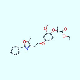 CCOC(=O)C(C)(C)Oc1ccc(OCCc2nc(-c3ccccc3)oc2C)cc1OC